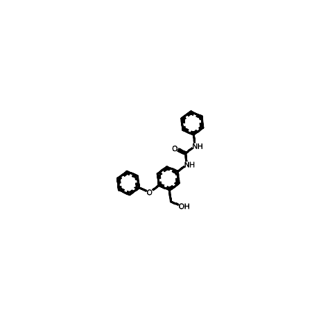 O=C(Nc1ccccc1)Nc1ccc(Oc2ccccc2)c(CO)c1